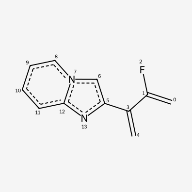 C=C(F)C(=C)c1cn2ccccc2n1